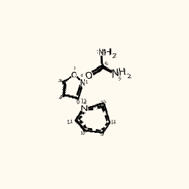 C1=NOCC1.NC(N)=O.c1ccncc1